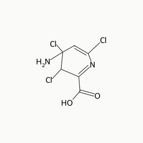 NC1(Cl)C=C(Cl)N=C(C(=O)O)C1Cl